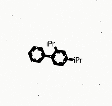 CC(C)c1ccc(-c2ccccc2)c(C(C)C)c1